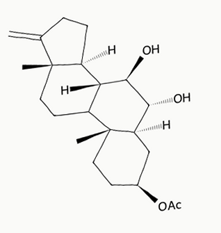 C=C1CC[C@H]2[C@H]3C(CC[C@]12C)[C@@]1(C)CC[C@H](OC(C)=O)C[C@@H]1[C@@H](O)[C@@H]3O